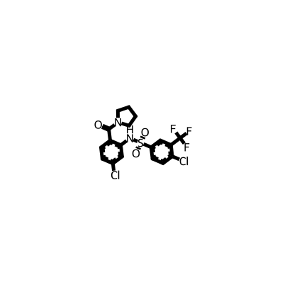 O=C(c1ccc(Cl)cc1NS(=O)(=O)c1ccc(Cl)c(C(F)(F)F)c1)N1CCCC1